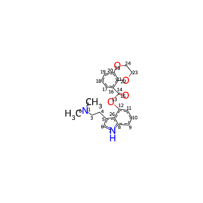 CN(C)CCc1c[nH]c2cccc(OC(=O)c3cccc4c3OCCO4)c12